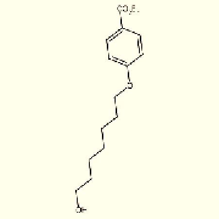 CCOC(=O)c1ccc(OCCCCCCCO)cc1